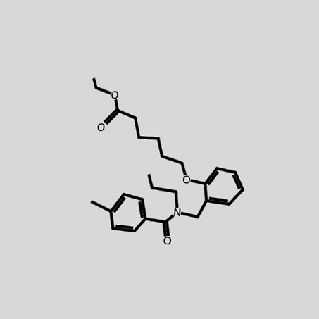 CCCN(Cc1ccccc1OCCCCCC(=O)OCC)C(=O)c1ccc(C)cc1